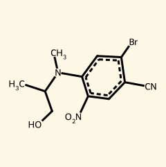 CC(CO)N(C)c1cc(Br)c(C#N)cc1[N+](=O)[O-]